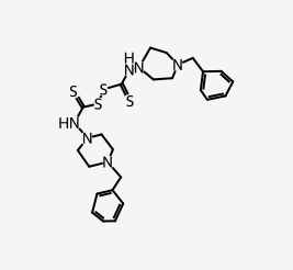 S=C(NN1CCN(Cc2ccccc2)CC1)SSC(=S)NN1CCN(Cc2ccccc2)CC1